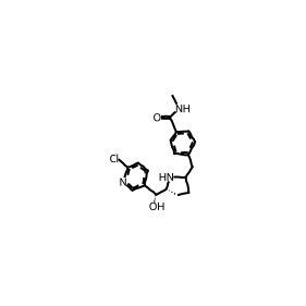 CNC(=O)c1ccc(CC2CC[C@H]([C@H](O)c3ccc(Cl)nc3)N2)cc1